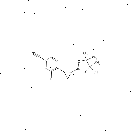 CC1(C)OB(C2CC2c2ccc(C#N)cc2F)OC1(C)C